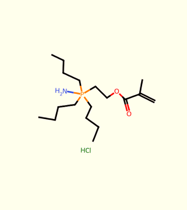 C=C(C)C(=O)OCCP(N)(CCCC)(CCCC)CCCC.Cl